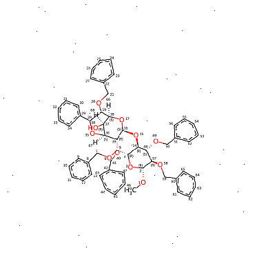 CO[C@@H]1O[C@H](COCc2ccccc2)[C@@H](O[C@@H]2O[C@@H]3C(OCc4ccccc4)C(c4ccccc4)O[C@@H]([C@H]3O)[C@H]2OCc2ccccc2)[C@H](OCc2ccccc2)[C@H]1OCc1ccccc1